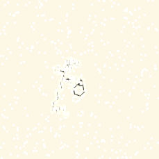 CC(C)(C)OC(=O)N(O)CCCCCN.c1ccc2c(c1)C2